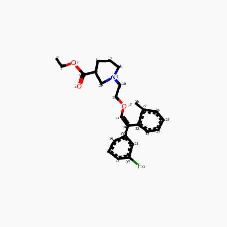 CCOC(=O)C1CCCN(CCOC=C(c2cccc(F)c2)c2ccccc2C)C1